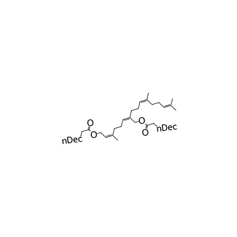 CCCCCCCCCCCC(=O)OCC=C(C)CCC=C(CCC=C(C)CCC=C(C)C)COC(=O)CCCCCCCCCCC